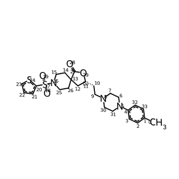 Cc1ccc(N2CCN(CC[C@@H]3CC4(CCN(S(=O)(=O)c5cccs5)CC4)C(=O)O3)CC2)cc1